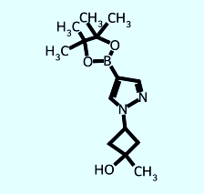 CC1(O)CC(n2cc(B3OC(C)(C)C(C)(C)O3)cn2)C1